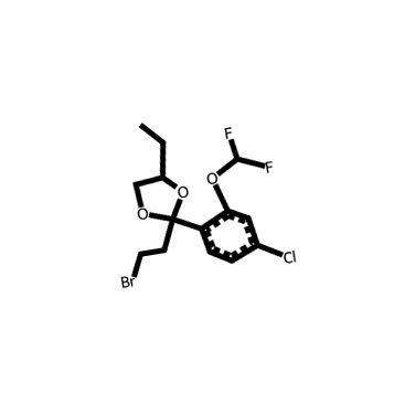 CCC1COC(CCBr)(c2ccc(Cl)cc2OC(F)F)O1